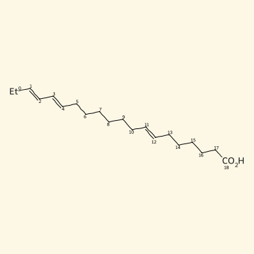 CCC=CC=CCCCCCCC=CCCCCCC(=O)O